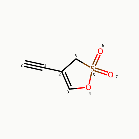 C#CC1=COS(=O)(=O)C1